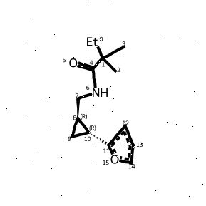 CCC(C)(C)C(=O)NC[C@@H]1C[C@H]1c1ccco1